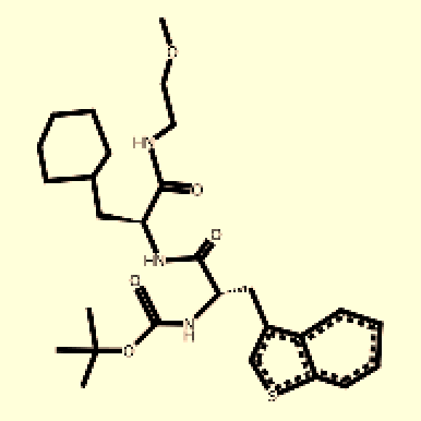 COCCNC(=O)[C@H](CC1CCCCC1)NC(=O)[C@H](Cc1csc2ccccc12)NC(=O)OC(C)(C)C